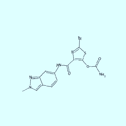 Cn1cc2ccc(NC(=O)c3nc(Br)sc3OC(N)=O)cc2n1